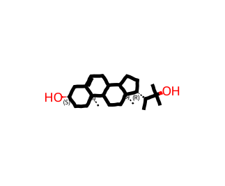 CC([C@H]1CCC2C3CC=C4C[C@@H](O)CC[C@]4(C)C3CC[C@@]21C)C(C)(C)O